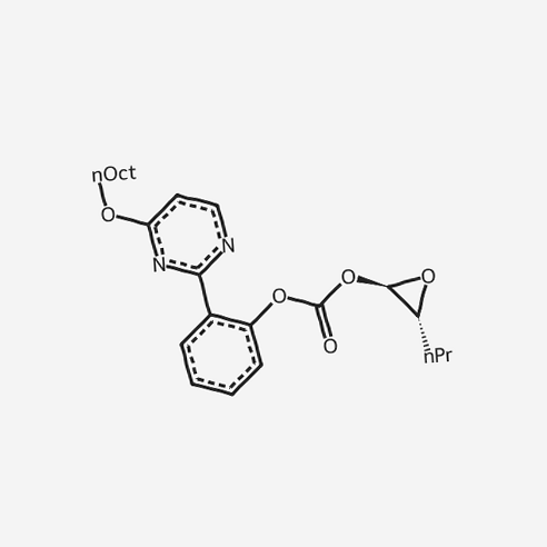 CCCCCCCCOc1ccnc(-c2ccccc2OC(=O)O[C@H]2O[C@@H]2CCC)n1